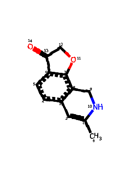 CC1=Cc2ccc3c(c2CN1)OCC3=O